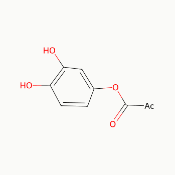 CC(=O)C(=O)Oc1ccc(O)c(O)c1